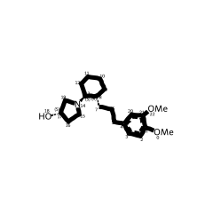 COc1ccc(CCC[C@H]2CCCC[C@@H]2N2CC[C@H](O)C2)cc1OC